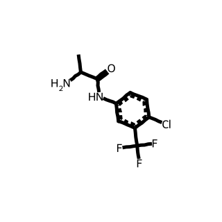 CC(N)C(=O)Nc1ccc(Cl)c(C(F)(F)F)c1